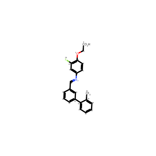 O=C(O)COc1ccc(N=Cc2cccc(-c3ccccc3C(F)(F)F)c2)cc1F